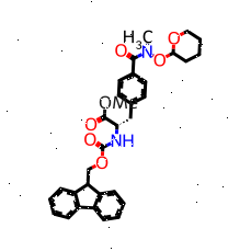 COC(=O)[C@H](Cc1ccc(C(=O)N(C)OC2CCCCO2)cc1)NC(=O)OCC1c2ccccc2-c2ccccc21